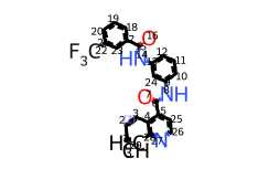 C#C/C=C\c1c(C(=O)Nc2cccc(NC(=O)c3cccc(C(F)(F)F)c3)c2)ccnc1C